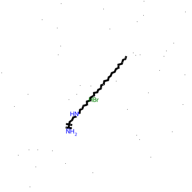 Br.CCCCCCCCCCCCCCCCCCCCCCCCCCCCNCCCCC(C)(C)C(C)(C)N